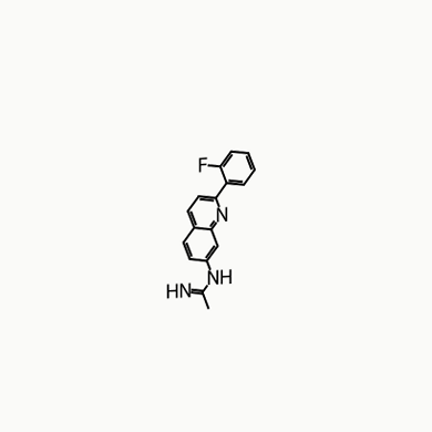 CC(=N)Nc1ccc2ccc(-c3ccccc3F)nc2c1